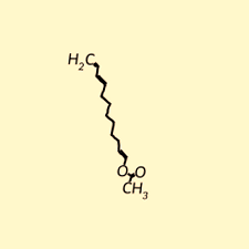 C=CC=CCCCCCCC=COC(C)=O